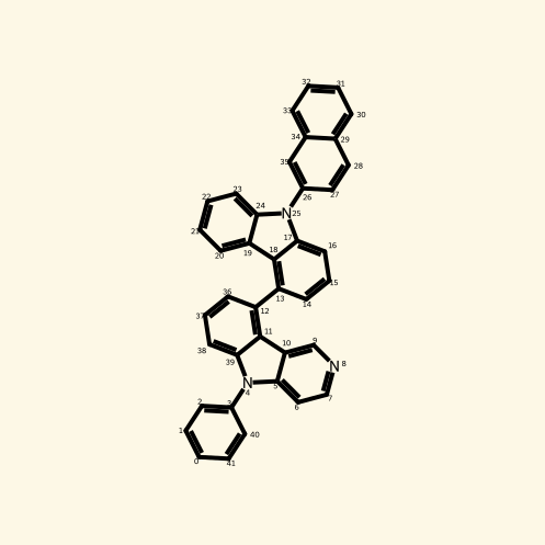 c1ccc(-n2c3ccncc3c3c(-c4cccc5c4c4ccccc4n5-c4ccc5ccccc5c4)cccc32)cc1